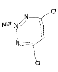 Clc1cc(Cl)nnn1.[Na]